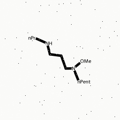 CCCCCN(CCCNCCC)OC